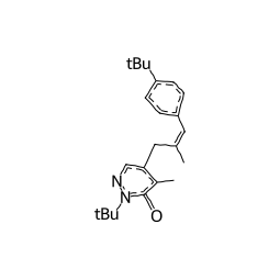 CC(=Cc1ccc(C(C)(C)C)cc1)Cc1cnn(C(C)(C)C)c(=O)c1C